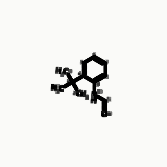 CC(C)(C)c1ccccc1N[C]=O